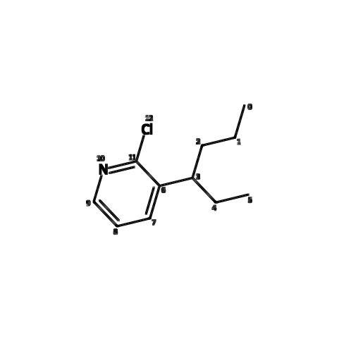 CCCC(CC)c1cccnc1Cl